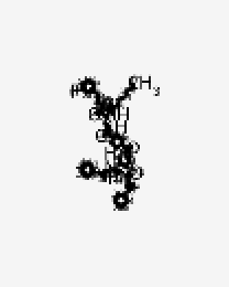 CCCCCCC(=O)N[C@@H](CNC(=O)c1ccc(C(=O)N2C[C@@H](C(=O)N[C@H]3C[C@@H]3c3ccccc3)[C@H](C(=O)N[C@H]3C[C@@H]3c3ccccc3)C2)cc1)C(=O)NCCc1cccc(F)c1